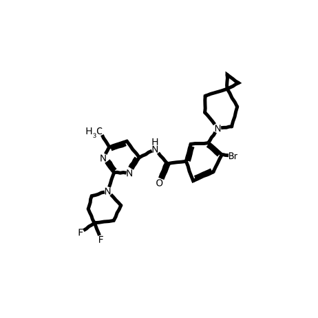 Cc1cc(NC(=O)c2ccc(Br)c(N3CCC4(CC3)CC4)c2)nc(N2CCC(F)(F)CC2)n1